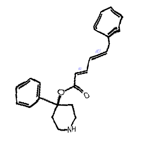 O=C(/C=C/C=C/c1ccccc1)OC1(c2ccccc2)CCNCC1